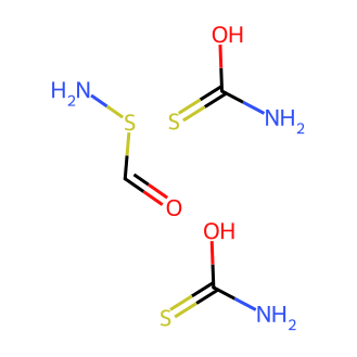 NC(O)=S.NC(O)=S.NSC=O